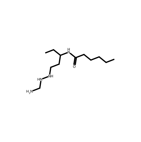 CCCCCC(=O)NC(CC)CCNNCN